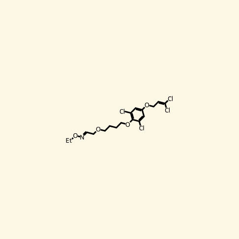 CCO/N=C/COCCCCOc1c(Cl)cc(OCC=C(Cl)Cl)cc1Cl